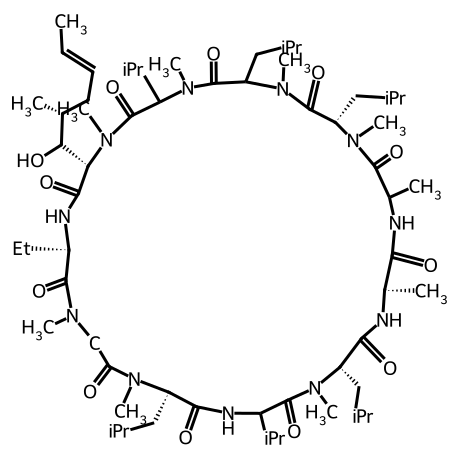 C/C=C/C[C@@H](C)C(O)[C@H]1C(=O)N[C@@H](CC)C(=O)N(C)CC(=O)N(C)[C@@H](CC(C)C)C(=O)NC(C(C)C)C(=O)N(C)[C@@H](CC(C)C)C(=O)N[C@@H](C)C(=O)NC(C)C(=O)N(C)[C@@H](CC(C)C)C(=O)N(C)C(CC(C)C)C(=O)N(C)C(C(C)C)C(=O)N1C